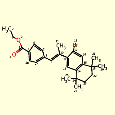 CCOC(=O)c1ccc(C=C(C)c2cc3c(cc2Br)C(C)(C)CCC3(C)C)cc1